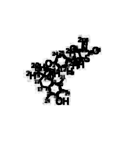 [2H]c1c(OC([2H])([2H])C2(C([2H])[2H])CCc3c(C)c(O)c(C)c(C)c3O2)ccc(C([2H])([2H])C2([2H])SC(=O)N([2H])C2=O)c1[2H]